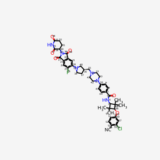 CC1(C)C(NC(=O)c2ccc(N3CCN(C[C@H]4CCN(c5cc6c(cc5F)C(=O)N(C5CCC(=O)NC5=O)C6=O)C4)CC3)cc2)C(C)(C)C1Oc1ccc(C#N)c(Cl)c1